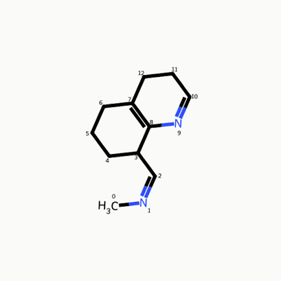 C/N=C\C1CCCC2=C1N=CCC2